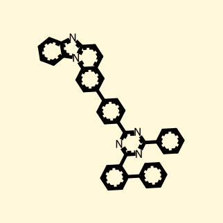 c1ccc(-c2nc(-c3ccc(-c4ccc5c(ccc6nc7ccccc7n65)c4)cc3)nc(-c3ccccc3-c3ccccc3)n2)cc1